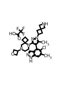 Cc1cc2[nH]ncc2c(-c2c(N3CCN(C4COC4)CC34CCC4)nn(C3CC4(CNC4)C3)c2C)c1Cl.O=C(O)C(F)(F)F